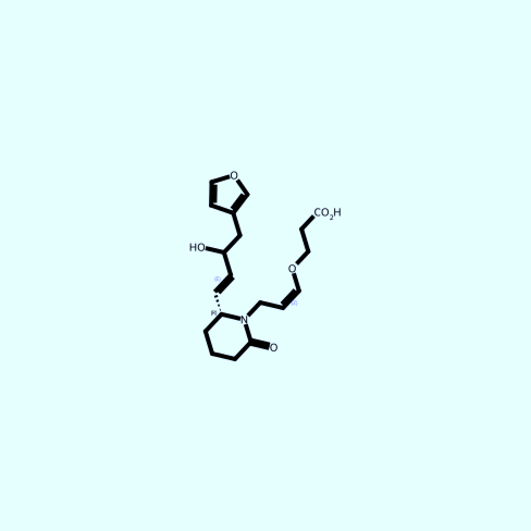 O=C(O)CCO/C=C\CN1C(=O)CCC[C@@H]1/C=C/C(O)Cc1ccoc1